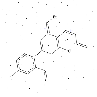 C=C/C=C\C1=C(Cl)CC(c2ccc(C)cc2C=C)=C/C1=C/CC